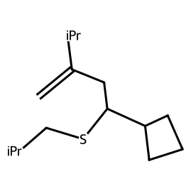 C=C(CC(SCC(C)C)C1CCC1)C(C)C